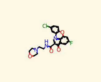 O=C(NCCN1CCOCC1)c1cn2c3c(cc(F)cc3c1=O)Oc1ccc(Cl)cc1-2